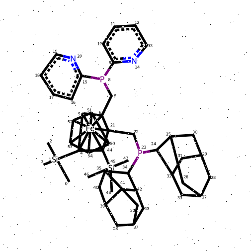 C[Si](C)(C)[C]12[CH]3[C]4(CP(c5ccccn5)c5ccccn5)[C]5(CP(C6C7CC8CC(C7)CC6C8)C6C7CC8CC(C7)CC6C8)[C]1([Si](C)(C)C)[Fe]34521678[CH]2[CH]1[CH]6[CH]7[CH]28